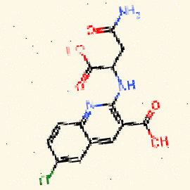 NC(=O)CC(Nc1nc2ccc(Cl)cc2cc1C(=O)O)C(=O)O